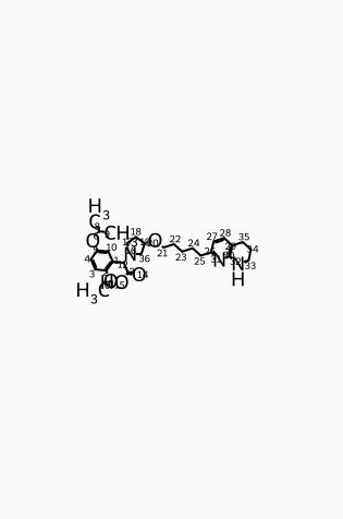 COc1ccc(OC(C)C)cc1[C@H](C(=O)O)N1CC[C@@H](OCCCCCc2ccc3c(n2)NCCC3)C1